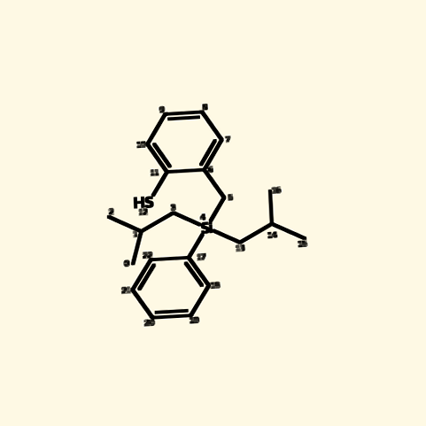 CC(C)C[Si](Cc1ccccc1S)(CC(C)C)c1ccccc1